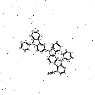 N#Cc1cccc2c1c1ccc3c(c4ccccc4n3-c3ccc4c(c3)c3ccccc3n4-c3ccccc3)c1n2-c1ccccc1